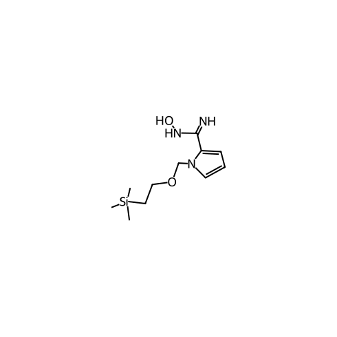 C[Si](C)(C)CCOCn1cccc1C(=N)NO